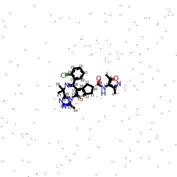 Cc1noc(C)c1NC(=O)[C@@H]1Cc2sc3c(c2C1)C(c1ccccc1Cl)=NC(C)(C)c1nnc(C)n1-3